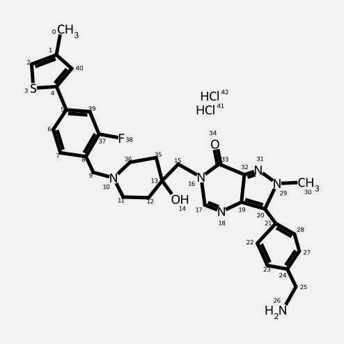 Cc1csc(-c2ccc(CN3CCC(O)(Cn4cnc5c(-c6ccc(CN)cc6)n(C)nc5c4=O)CC3)c(F)c2)c1.Cl.Cl